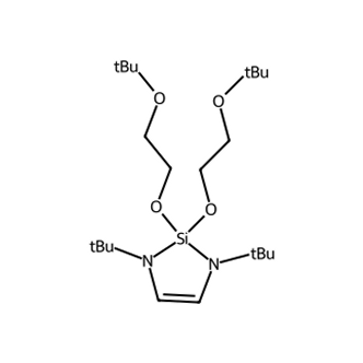 CC(C)(C)OCCO[Si]1(OCCOC(C)(C)C)N(C(C)(C)C)C=CN1C(C)(C)C